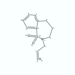 C=CCN1CCCc2ccccc2S1(=O)=O